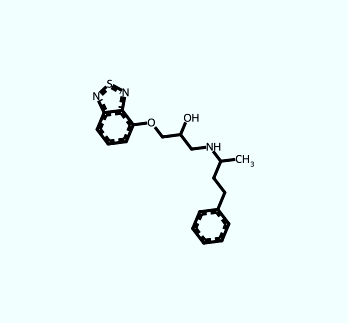 CC(CCc1ccccc1)NCC(O)COc1cccc2nsnc12